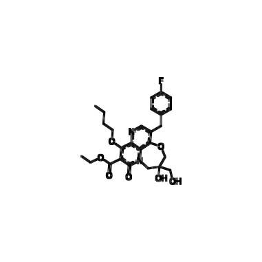 CCCCOc1c(C(=O)OCC)c(=O)n2c3c(c(Cc4ccc(F)cc4)cnc13)OCC(O)(CO)C2